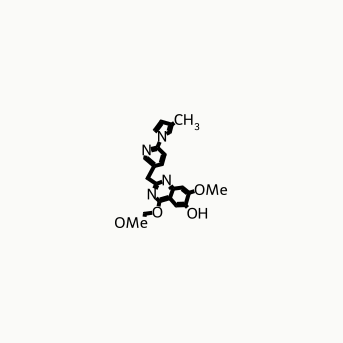 COCOc1nc(Cc2ccc(-n3ccc(C)c3)nc2)nc2cc(OC)c(O)cc12